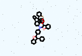 c1ccc(-c2c(-c3ccc(N(c4ccc5c(c4)C4(c6ccccc6Sc6ccccc64)c4ccccc4-5)c4oc5ccccc5c4-c4ccccc4)cc3)oc3ccccc23)cc1